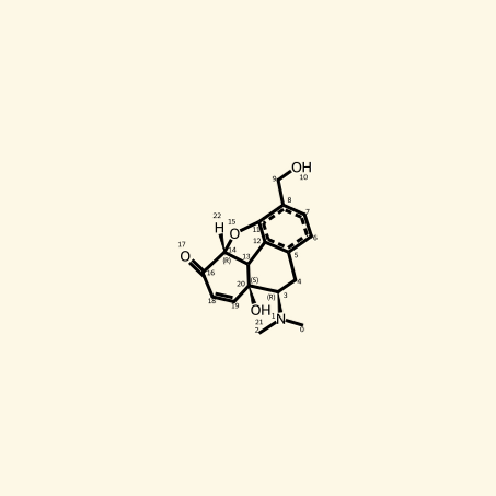 CN(C)[C@@H]1Cc2ccc(CO)c3c2C2[C@@H](O3)C(=O)C=C[C@]21O